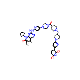 CC(=O)c1c(C)c2cnc(Nc3ccc(N4CCN(C(=O)C5CCN(CC6CCN(c7ccc(C8CCC(=O)NC8=O)cn7)CC6)CC5)CC4)cn3)nc2n(C2CCCC2)c1=O